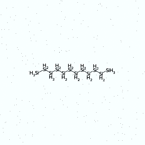 [SiH3][SiH2][SiH2][SiH2][SiH2][SiH2][SiH2][SiH2][SiH2][SiH2][SiH2][SiH3]